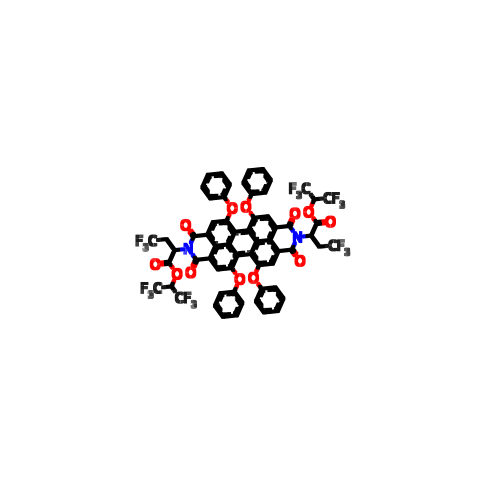 O=C(OC(C(F)(F)F)C(F)(F)F)C(CC(F)(F)F)N1C(=O)c2cc(Oc3ccccc3)c3c4c(Oc5ccccc5)cc5c6c(cc(Oc7ccccc7)c(c7c(Oc8ccccc8)cc(c2c37)C1=O)c64)C(=O)N(C(CC(F)(F)F)C(=O)OC(C(F)(F)F)C(F)(F)F)C5=O